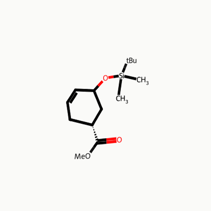 COC(=O)[C@@H]1CC=CC(O[Si](C)(C)C(C)(C)C)C1